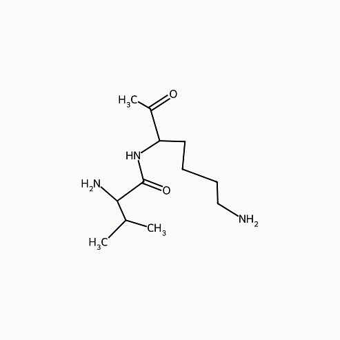 CC(=O)C(CCCCN)NC(=O)C(N)C(C)C